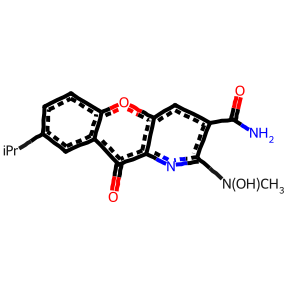 CC(C)c1ccc2oc3cc(C(N)=O)c(N(C)O)nc3c(=O)c2c1